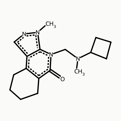 CN(Cn1c(=O)c2c(c3cnn(C)c31)CCCC2)C1CCC1